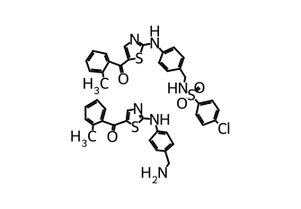 Cc1ccccc1C(=O)c1cnc(Nc2ccc(CN)cc2)s1.Cc1ccccc1C(=O)c1cnc(Nc2ccc(CNS(=O)(=O)c3ccc(Cl)cc3)cc2)s1